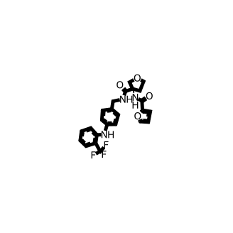 O=C(N[C@@]1(C(=O)NCc2ccc(Nc3ccccc3C(F)(F)F)cc2)CCOC1)c1ccco1